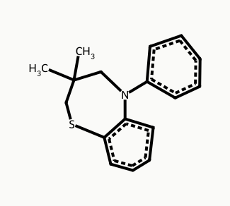 CC1(C)CSc2ccccc2N(c2ccccc2)C1